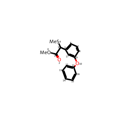 COC(=O)C(SC)c1cccc(Oc2ccccc2)c1